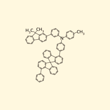 Cc1ccc(N(c2ccc(-c3cccc4c3-c3ccccc3C43c4ccccc4-c4c(-c5ccccc5)cccc43)cc2)c2cccc(-c3ccc4c(c3)C(C)(C)c3ccccc3-4)c2)cc1